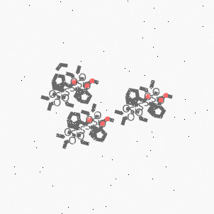 CCC.CCO[Si](OCC)(OCC)C1(SSC2([Si](OCC)(OCC)OCC)CC3CCC2(CC)C3)CC2CCC1(CC)C2.CCO[Si](OCC)(OCC)C1(SSC2([Si](OCC)(OCC)OCC)CC3CCC2(CC)C3)CC2CCC1(CC)C2.CCO[Si](OCC)(OCC)C1(SSC2([Si](OCC)(OCC)OCC)CC3CCC2(CC)C3)CC2CCC1(CC)C2